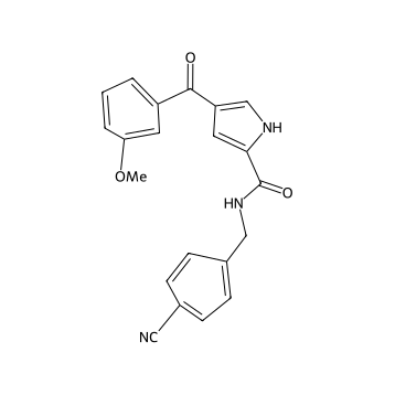 COc1cccc(C(=O)c2c[nH]c(C(=O)NCc3ccc(C#N)cc3)c2)c1